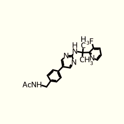 CC(=O)NCc1ccc(-c2cnc(NC(C)(C)c3ncccc3F)nc2)cc1